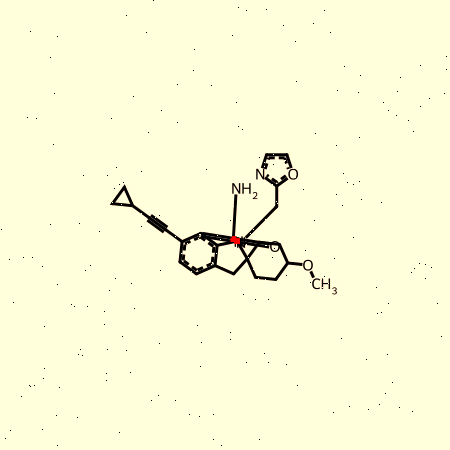 COC1CCC2(CC1)Cc1ccc(C#CC3CC3)cc1C21N=C(N)N(Cc2ncco2)C1=O